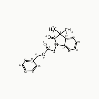 CC1(C)C(=O)N(CC(=O)OCc2ccccc2)c2ccccc21